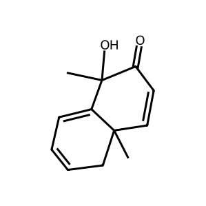 CC12C=CC(=O)C(C)(O)C1=CC=CC2